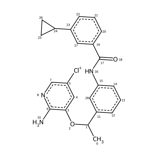 CC(Oc1cc(Cl)cnc1N)c1cccc(NC(=O)c2cccc(C3CC3)c2)c1